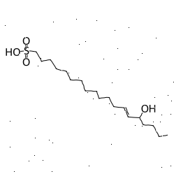 CCCCC(O)C=CCCCCCCCCCCCCS(=O)(=O)O